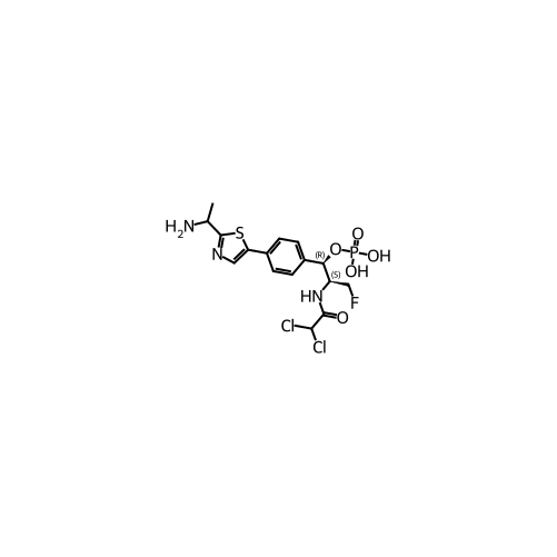 CC(N)c1ncc(-c2ccc([C@@H](OP(=O)(O)O)[C@@H](CF)NC(=O)C(Cl)Cl)cc2)s1